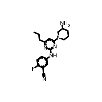 CCCc1cc(N2CCCC(N)C2)nc(Nc2ccc(F)c(C#N)c2)n1